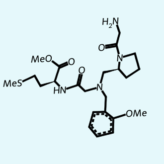 COC(=O)[C@H](CCSC)NC(=O)CN(Cc1ccccc1OC)C[C@@H]1CCCN1C(=O)CN